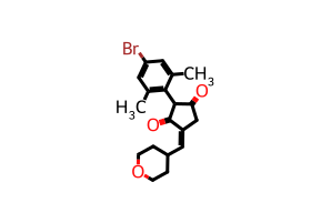 Cc1cc(Br)cc(C)c1C1C(=O)CC(=CC2CCOCC2)C1=O